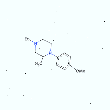 CCN1CCN(c2ccc(OC)cc2)C(C)C1